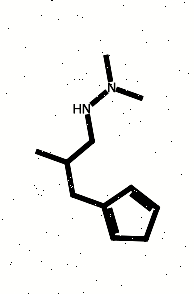 CC(CNN(C)C)CC1=CCC=C1